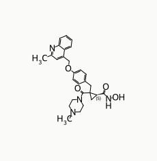 Cc1cc(COc2ccc(CC3(C(=O)N4CCN(C)CC4)C[C@@H]3C(=O)NO)cc2)c2ccccc2n1